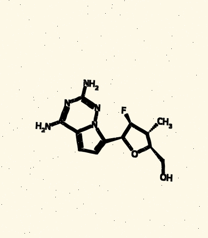 C[C@H]1[C@H](F)[C@H](c2ccc3c(N)nc(N)nn23)O[C@@H]1CO